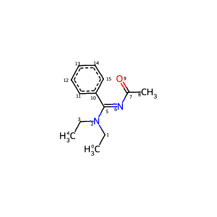 CCN(CC)/C(=N/C(C)=O)c1ccccc1